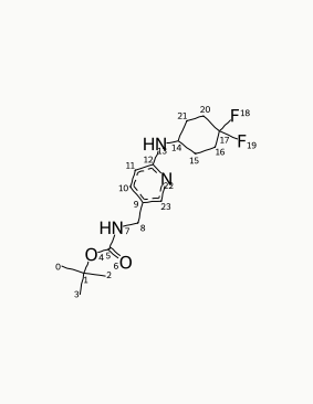 CC(C)(C)OC(=O)NCc1ccc(NC2CCC(F)(F)CC2)nc1